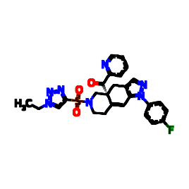 CCn1cc(S(=O)(=O)N2CCC3=Cc4c(cnn4-c4ccc(F)cc4)C[C@]3(C(=O)c3ccccn3)C2)nn1